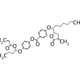 C=CC(=O)OC(CCC)Oc1ccc(OC(=O)c2ccc(OC(CCCCCC)C3CC(=C)C(=O)O3)cc2)cc1